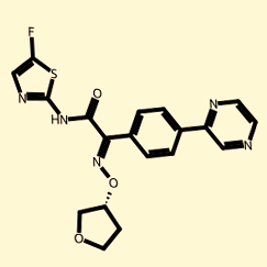 O=C(Nc1ncc(F)s1)/C(=N/O[C@@H]1CCOC1)c1ccc(-c2cnccn2)cc1